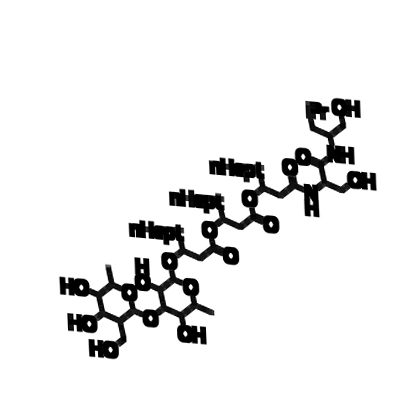 CCCCCCCC(CC(=O)NC(CO)C(=O)NC(CO)CC(C)C)OC(=O)CC(CCCCCCC)OC(=O)CC(CCCCCCC)OC1OC(C)C(O)C(OC2OC(C)C(O)C(O)C2CO)C1O